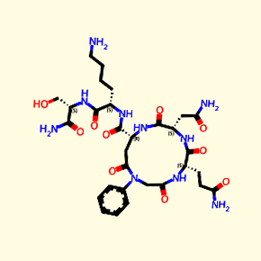 NCCCC[C@H](NC(=O)[C@H]1CC(=O)N(c2ccccc2)CC(=O)N[C@@H](CCC(N)=O)C(=O)N[C@@H](CC(N)=O)C(=O)N1)C(=O)N[C@@H](CO)C(N)=O